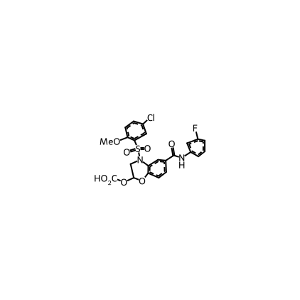 COc1ccc(Cl)cc1S(=O)(=O)N1CC(OC(=O)O)Oc2ccc(C(=O)Nc3cccc(F)c3)cc21